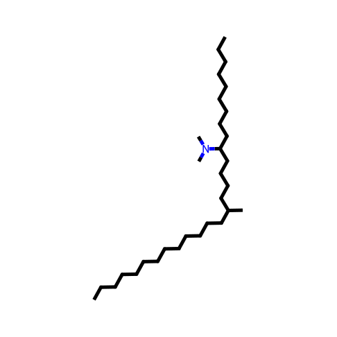 CCCCCCCCCCCCCC(C)CCCCC(CCCCCCCCC)N(C)C